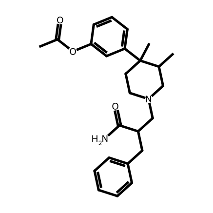 CC(=O)Oc1cccc(C2(C)CCN(CC(Cc3ccccc3)C(N)=O)CC2C)c1